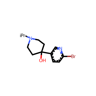 CC(C)N1CCC(O)(c2ccc(Br)nc2)CC1